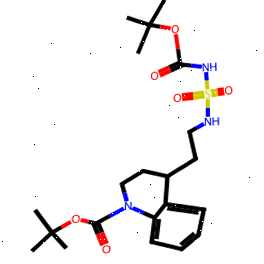 CC(C)(C)OC(=O)NS(=O)(=O)NCCC1CCN(C(=O)OC(C)(C)C)c2ccccc21